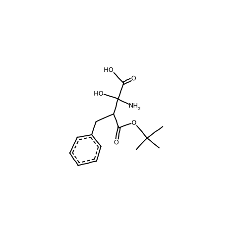 CC(C)(C)OC(=O)C(Cc1ccccc1)C(N)(O)C(=O)O